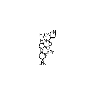 CCC[C@@H]1C[C@H](N(C)C)CC[C@@H]1N1CC[C@H](NC(=O)C2=CC=NCN2C(F)(F)F)C1=O